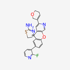 NC1=N[C@]2(CCS1)c1cc(-c3cccnc3F)ccc1Oc1cnc(C3=CCCOC3)cc12